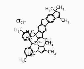 CC1=CC(C)[C]([Zr+2]([C]2=C(C)c3cc4c(cc3C2(C)C)Cc2cc3c(cc2-4)C(C)=CC3(C)C)=[C](c2ccc(C)cc2)c2ccc(C)cc2)=C1C.[Cl-].[Cl-]